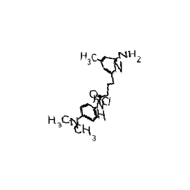 Cc1cc(N)nc(CCCC(=O)Nc2ccc(N(C)C)cc2)c1.Cl